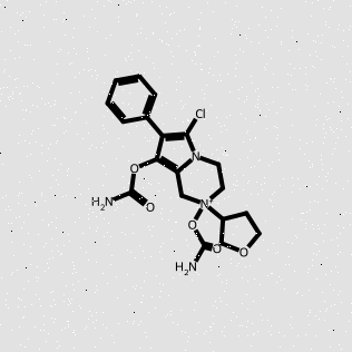 NC(=O)Oc1c(-c2ccccc2)c(Cl)n2c1C[N+](OC(N)=O)(C1CCOC1)CC2